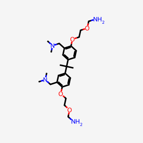 CN(C)Cc1cc(C(C)(C)c2ccc(OCCOCN)c(CN(C)C)c2)ccc1OCCOCN